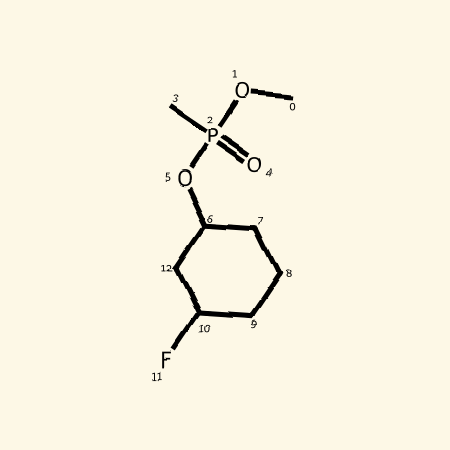 COP(C)(=O)OC1CCCC(F)C1